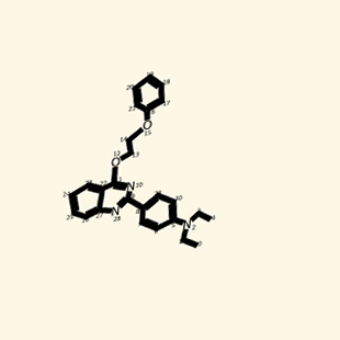 CCN(CC)c1ccc(-c2nc(OCCOc3ccccc3)c3ccccc3n2)cc1